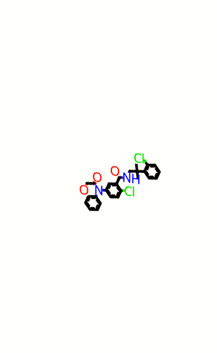 CC(C)(CNC(=O)c1cc(N2C(=O)COc3ccccc32)ccc1Cl)c1ccccc1Cl